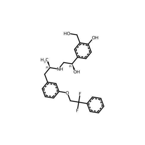 C[C@H](Cc1cccc(OCC(F)(F)c2ccccc2)c1)NC[C@H](O)c1ccc(O)c(CO)c1